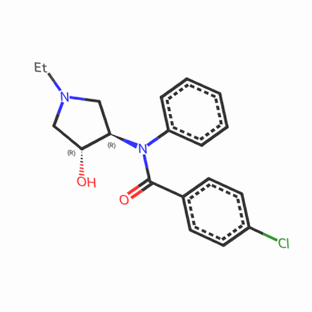 CCN1C[C@@H](O)[C@H](N(C(=O)c2ccc(Cl)cc2)c2ccccc2)C1